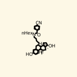 CCCCCCN(CCCC[C@@H]1Cc2cc(O)ccc2[C@@H]2[C@@H]1[C@@H]1CC[C@H](O)[C@@]1(C)C[C@@H]2F)C(=O)c1ccc(C#N)cc1